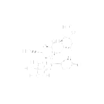 C#CCC[C@H](C(O[Si](C)(C)C(C)(C)C)c1ccc(Cl)nc1)N(Cc1ccc(OC)cc1)C(=O)O